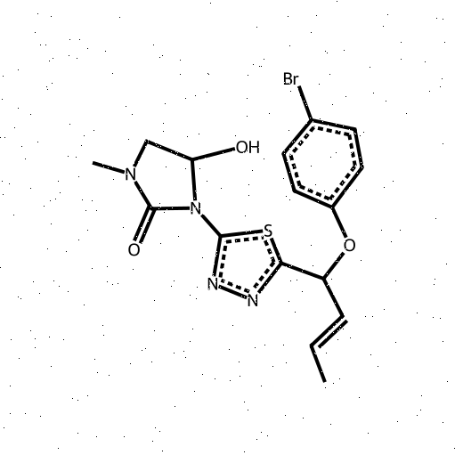 CC=CC(Oc1ccc(Br)cc1)c1nnc(N2C(=O)N(C)CC2O)s1